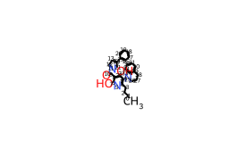 CCCCc1nc(O)c(C(=O)N2CC[C@@H](c3ccccc3)C2)c(O)c1N1CCCc2ccccc21